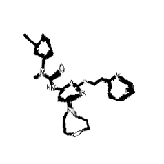 Cc1cccc(N(C)C(=O)Nc2cc(N3CCOCC3)nc(OCCc3ccccn3)n2)c1